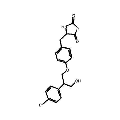 CCc1ccc(C(CO)COc2ccc(CC3NC(=O)SC3=O)cc2)nc1